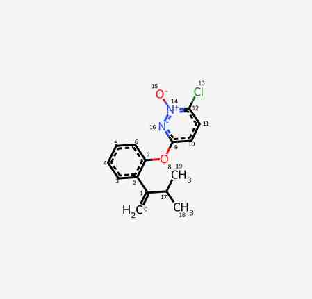 C=C(c1ccccc1Oc1ccc(Cl)[n+]([O-])n1)C(C)C